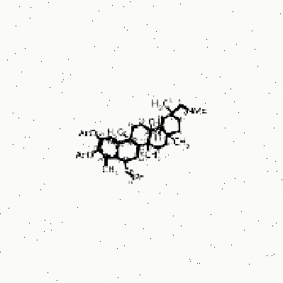 CNC[C@]1(C)CC[C@]2(C)CC[C@]3(C)C4=CC(SC(C)C)c5c(cc(OC(C)=O)c(OC(C)=O)c5C)[C@]4(C)CC[C@@]3(C)[C@@H]2C1